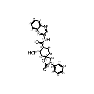 Cl.O=C(Nc1cnc2ccccc2n1)C1CCC2(CC1)CN(c1ccccc1)C(=O)O2